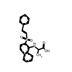 CC(Nc1c(S(=O)(=O)/C=C/c2ccccc2)ccc2ccccc12)C(=O)O